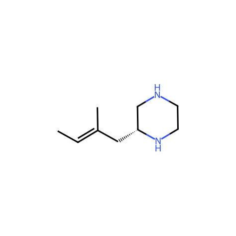 C/C=C(\C)C[C@@H]1CNCCN1